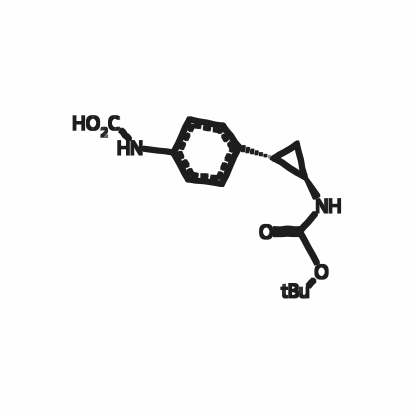 CC(C)(C)OC(=O)N[C@@H]1C[C@H]1c1ccc(NC(=O)O)cc1